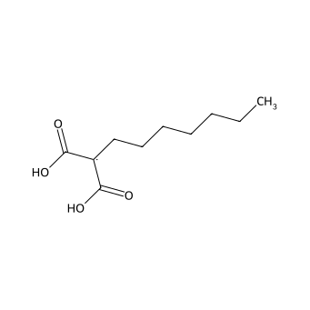 CCCCCCC[C](C(=O)O)C(=O)O